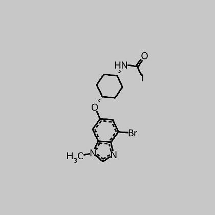 Cn1cnc2c(Br)cc(O[C@H]3CC[C@@H](NC(=O)I)CC3)cc21